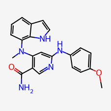 COc1ccc(Nc2cc(N(C)c3cccc4cc[nH]c34)c(C(N)=O)cn2)cc1